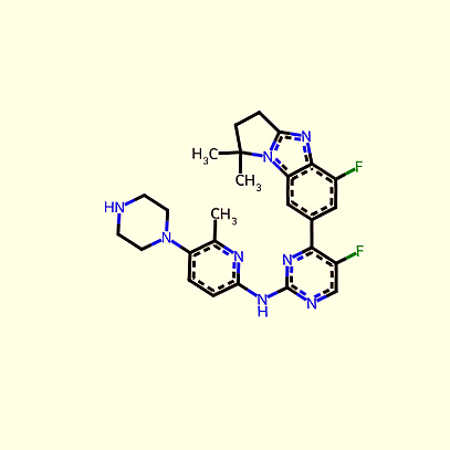 Cc1nc(Nc2ncc(F)c(-c3cc(F)c4nc5n(c4c3)C(C)(C)CC5)n2)ccc1N1CCNCC1